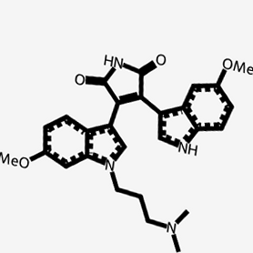 COc1ccc2[nH]cc(C3=C(c4cn(CCCN(C)C)c5cc(OC)ccc45)C(=O)NC3=O)c2c1